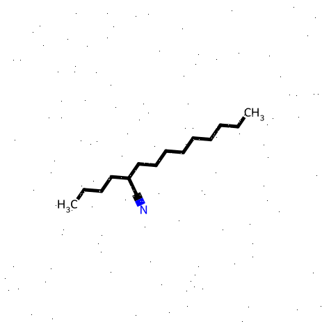 CCCCCCCCCC(C#N)CCCC